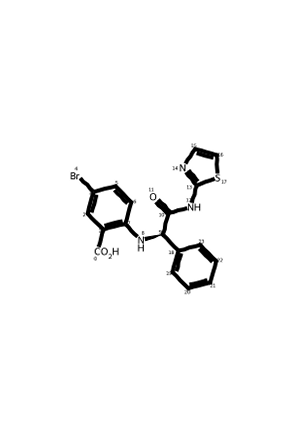 O=C(O)c1cc(Br)ccc1N[C@@H](C(=O)Nc1nccs1)c1ccccc1